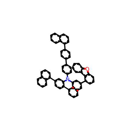 c1ccc(-c2ccc(-c3cccc4ccccc34)cc2N(c2ccc(-c3ccc(-c4cccc5ccccc45)cc3)cc2)c2cccc(-c3cccc4oc5ccccc5c34)c2)cc1